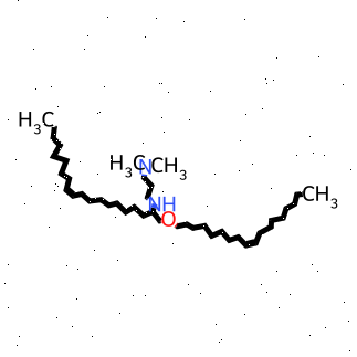 CCCCCCCC/C=C\CCCCCCCCOCC(CCCCCCCC/C=C\CCCCCCCC)NCCCN(C)C